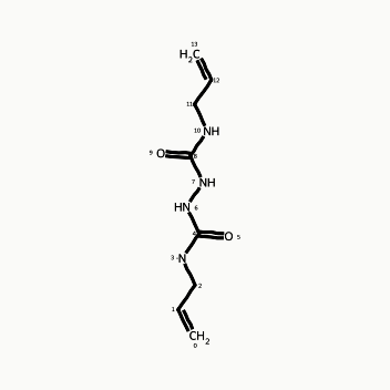 C=CC[N]C(=O)NNC(=O)NCC=C